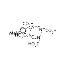 CNc1ccc(CC2CN(CC(=O)O)CCN(CC(=O)O)CCN(CC(=O)O)CCN2C(=O)O)cc1